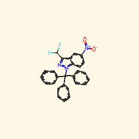 O=[N+]([O-])c1ccc2c(c1)c(C(F)F)nn2C(c1ccccc1)(c1ccccc1)c1ccccc1